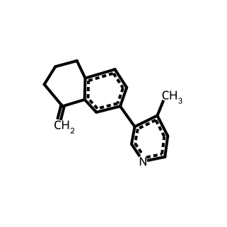 C=C1CCCc2ccc(-c3cnccc3C)cc21